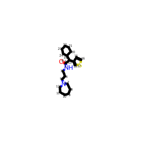 O=C(NCCCN1CCCCCC1)C(c1ccsc1)C1CCCCC1